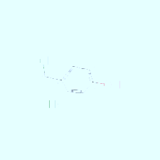 Cl.Oc1ccc(CCl)cc1